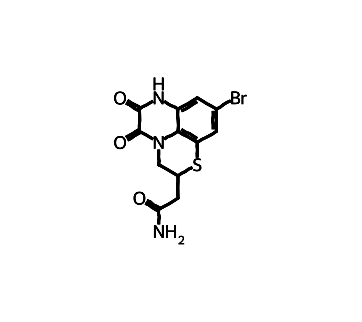 NC(=O)CC1Cn2c(=O)c(=O)[nH]c3cc(Br)cc(c32)S1